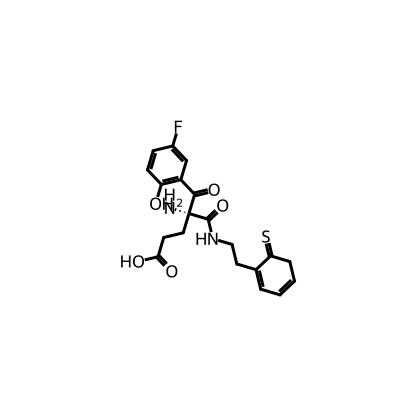 N[C@@](CCC(=O)O)(C(=O)NCCC1=CC=CCC1=S)C(=O)c1cc(F)ccc1O